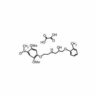 COc1cc([S+](C)[O-])c(OC)cc1OCCNCC(O)COc1ccccc1C.O=C(O)C(=O)O